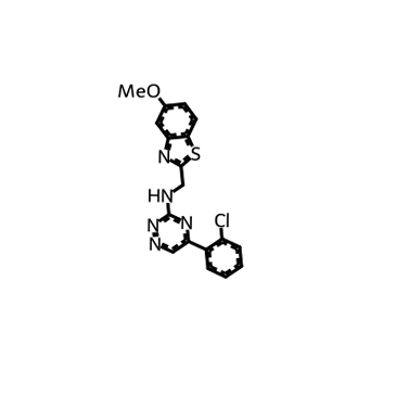 COc1ccc2sc(CNc3nncc(-c4ccccc4Cl)n3)nc2c1